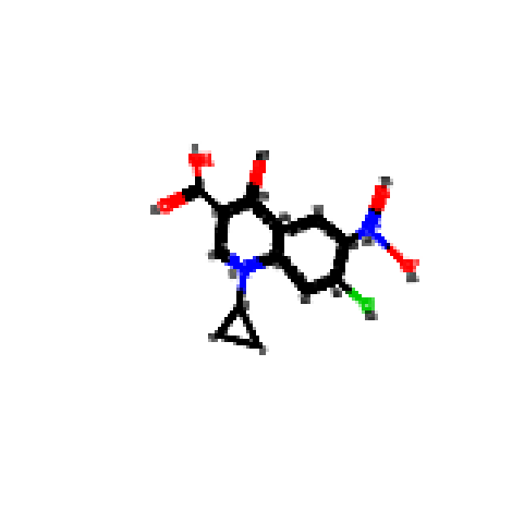 O=C(O)c1cn(C2CC2)c2cc(Cl)c([N+](=O)[O-])cc2c1=O